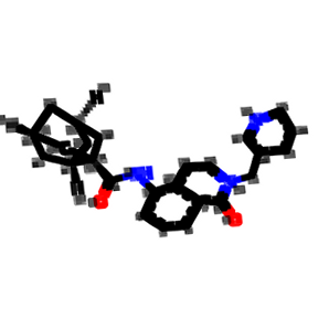 O=C(Nc1cccc2c(=O)n(Cc3cccnc3)ccc12)[C@@]12C[C@@H]3C[C@@H](C[C@@H]1C3)C2